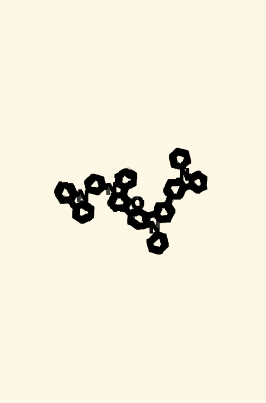 c1ccc(-n2c3ccccc3c3cc(-c4ccc5c(c4)c4c6oc7c(ccc8c7c7ccccc7n8-c7cccc(-n8c9ccccc9c9ccccc98)c7)c6ccc4n5-c4ccccc4)ccc32)cc1